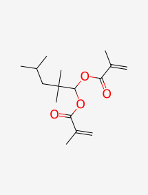 C=C(C)C(=O)OC(OC(=O)C(=C)C)C(C)(C)CC(C)C